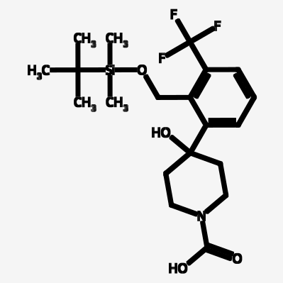 CC(C)(C)[Si](C)(C)OCc1c(C(F)(F)F)cccc1C1(O)CCN(C(=O)O)CC1